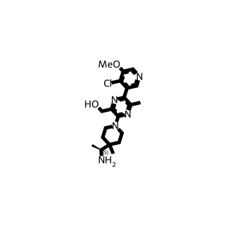 COc1cncc(-c2nc(CO)c(N3CCC(C)([C@H](C)N)CC3)nc2C)c1Cl